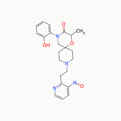 CC1OC2(CCN(CCc3ncccc3N=O)CC2)CN(c2ccccc2O)C1=O